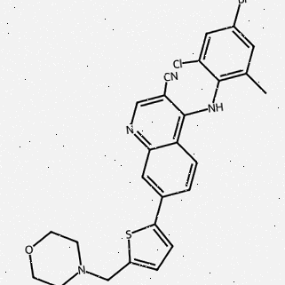 Cc1cc(Br)cc(Cl)c1Nc1c(C#N)cnc2cc(-c3ccc(CN4CCOCC4)s3)ccc12